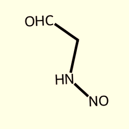 O=CCNN=O